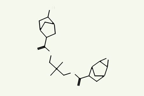 CC(C)(COC(=O)C1CC2CC1CC2O)COC(=O)C1CC2CC1C1OC21